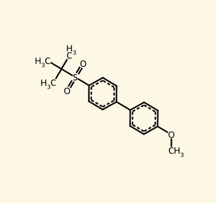 COc1ccc(-c2ccc(S(=O)(=O)C(C)(C)C)cc2)cc1